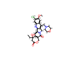 CCC1(O)CC(=O)OCc2c1cc1n(c2=O)Cc2c-1nc1cc(Cl)c(OC)cc1c2CN1CCOCC1